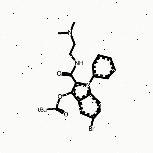 CN(C)CCNC(=O)c1c(OC(=O)C(C)(C)C)c2cc(Br)ccc2n1-c1ccccc1